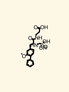 COc1cc(CC(NCP(=O)(O)O)C(=O)NCCC(=O)O)ccc1-c1ccccc1